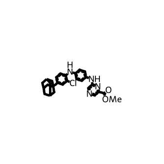 COC(=O)c1cncc(Nc2ccc(Nc3ccc(C45CC6CC(CC(C6)C4)C5)cc3Cl)cc2)n1